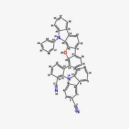 N#Cc1ccc2c(c1)c1ccccc1n2-c1c(C#N)cccc1-c1cccc2c1oc1c2ccc2c3ccccc3n(-c3ccccc3)c21